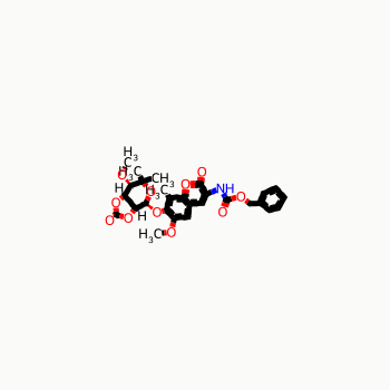 COc1cc2cc(NC(=O)OCc3ccccc3)c(=O)oc2c(C)c1O[C@@H]1OC(C)(C)[C@H](OC)[C@H]2OC(=O)O[C@@H]12